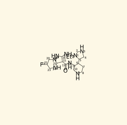 CCN1CNCC1C1CCNCC1NC(=O)C1C(N)NN2CC(F)CNC12